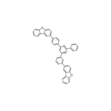 c1ccc(-c2nc(-c3ccc(-c4ccc5oc6ccccc6c5c4)cc3)cc(-c3cccc(-c4ccc5oc6ccccc6c5c4)c3)n2)cc1